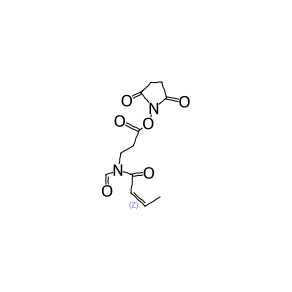 C/C=C\C(=O)N(C=O)CCC(=O)ON1C(=O)CCC1=O